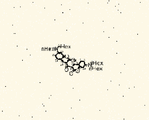 CCCCCCN(CCCCCC)c1ccc2cc(C(=O)c3cc4ccc(N(CCCCCC)CCCCCC)cc4oc3=O)c(=O)oc2c1